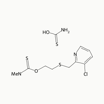 CNC(=S)OCCSCc1ncccc1Cl.NC(O)=S